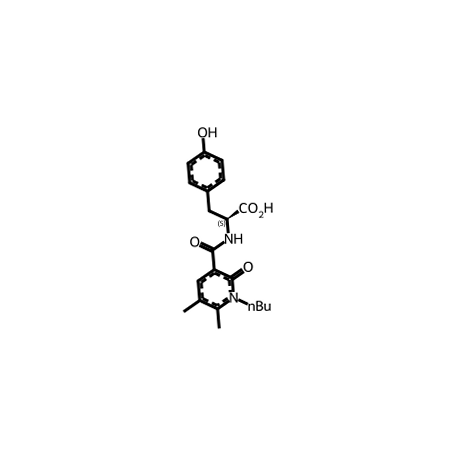 CCCCn1c(C)c(C)cc(C(=O)N[C@@H](Cc2ccc(O)cc2)C(=O)O)c1=O